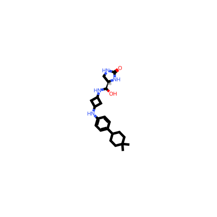 CC1(C)CCC(c2ccc(NC3CC(NC(O)[C@H]4CNC(=O)N4)C3)cc2)CC1